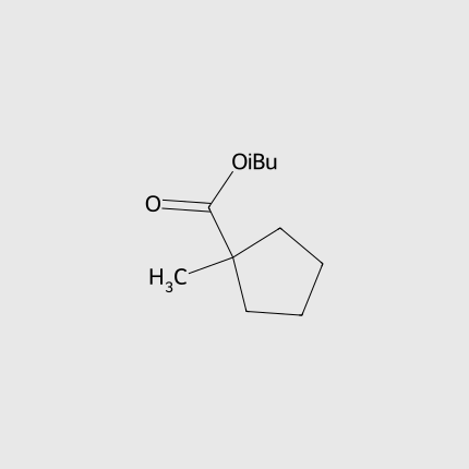 CC(C)COC(=O)C1(C)CCCC1